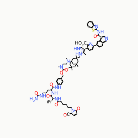 C/C(NCC1(C)CC2(C)CC(C)(C)CC(N(C)CCN(C)C(=O)OCc3ccc(NC(=O)[C@H](CCCNC(N)=O)NC(=O)C(NC(=O)CCCCCN4C(=O)C=CC4=C=O)C(C)C)cc3)(C1)C2)=C(/C=N)c1ccc(-c2ccc3cncc(C(=O)Nc4nc5ccccc5s4)c3c2)nc1C(=O)O